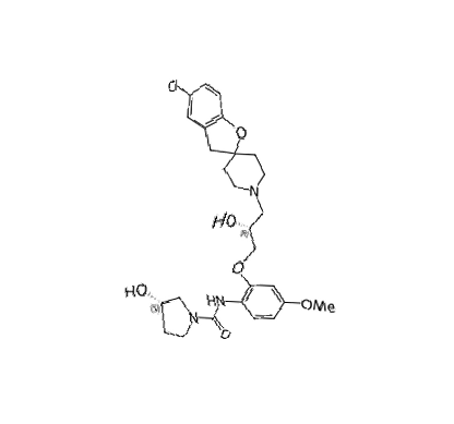 COc1ccc(NC(=O)N2CC[C@H](O)C2)c(OC[C@H](O)CN2CCC3(CC2)Cc2cc(Cl)ccc2O3)c1